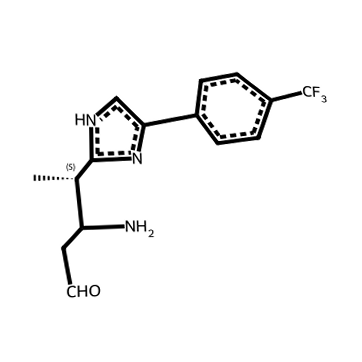 C[C@H](c1nc(-c2ccc(C(F)(F)F)cc2)c[nH]1)C(N)CC=O